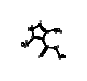 CCCCOC(=O)c1c([N+](=O)[O-])n[nH]c1[N+](=O)[O-]